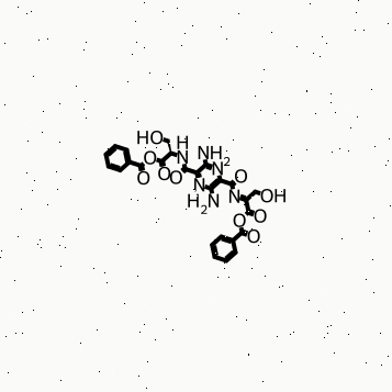 Nc1nc(C(=O)N[C@H](CO)C(=O)OC(=O)c2ccccc2)c(N)nc1C(=O)/N=C(\CO)C(=O)OC(=O)c1ccccc1